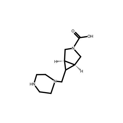 O=C(O)N1C[C@@H]2C(CN3CCNCC3)[C@@H]2C1